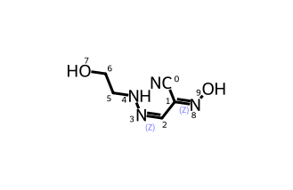 N#CC(/C=N\NCCO)=N\O